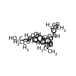 C=C(C)[C@@H]1CC[C@]2(CC(=O)N[C@@H]3CCN(S(=C)(C)=O)C3)CC[C@]3(C)[C@H](CC[C@@H]4[C@@]5(C)CC[C@H](OC(=O)CC(C)(C)C(=O)O)C(C)(C)[C@@H]5CC[C@]43C)[C@@H]12